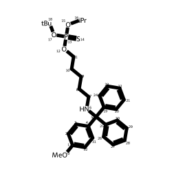 COc1ccc(C(NCCCCCOP(=S)(OC(C)C)OC(C)(C)C)(c2ccccc2)c2ccccc2)cc1